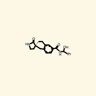 CC(C)C(O)NC(=O)c1ccc2c(c1)CC[C@@]1(CCNC1=O)C2